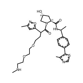 CNCCOCCOCCC(C(=O)N1C[C@H](O)C[C@H]1C(=O)NC(C)c1ccc(-c2scnc2C)cc1)c1cc(C)no1